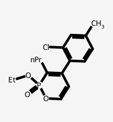 CCCC1=C(c2ccc(C)cc2Cl)C=COP1(=O)OCC